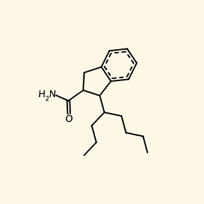 CCCCC(CCC)C1c2ccccc2CC1C(N)=O